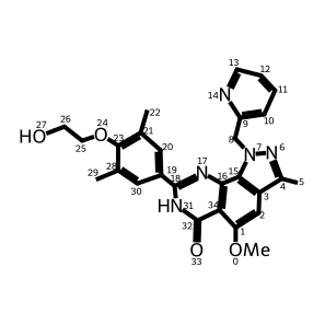 COc1cc2c(C)nn(Cc3ccccn3)c2c2nc(-c3cc(C)c(OCCO)c(C)c3)[nH]c(=O)c12